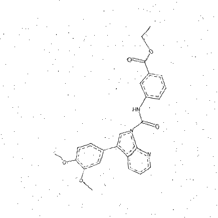 CCOC(=O)c1cccc(NC(=O)n2cc(-c3ccc(OC)c(OC)c3)c3cccnc32)c1